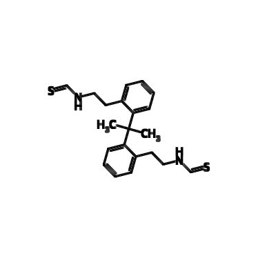 CC(C)(c1ccccc1CCNC=S)c1ccccc1CCNC=S